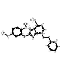 COc1ccc(OC)c(Sc2nc3c(N)ncn(CCc4ccccn4)c-3n2)c1